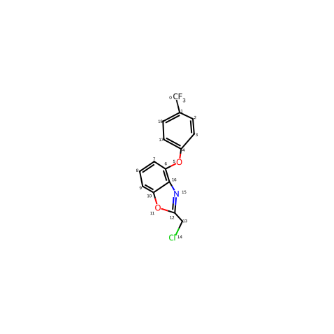 FC(F)(F)c1ccc(Oc2cccc3oc(CCl)nc23)cc1